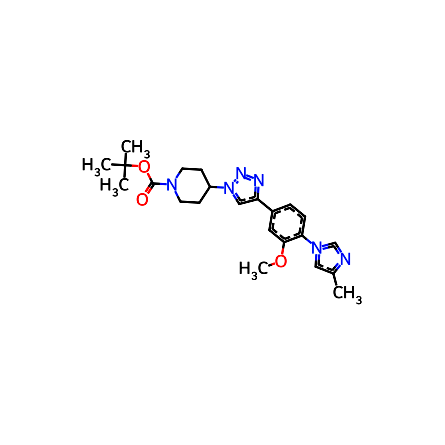 COc1cc(-c2cn(C3CCN(C(=O)OC(C)(C)C)CC3)nn2)ccc1-n1cnc(C)c1